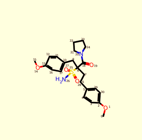 COc1ccc(CCC(Cc2ccc(OC)cc2)(C(=O)N2CCCC2)S(N)(=O)=O)cc1